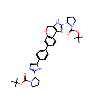 CC(C)(C)OC(=O)N1CCC[C@H]1c1ncc(-c2ccc(-c3ccc4c(c3)OCc3[nH]c([C@@H]5CCCN5C(=O)OC(C)(C)C)nc3-4)cc2)[nH]1